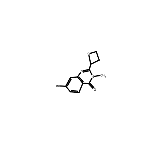 Cn1c(C2CCO2)nc2cc(Br)ccc2c1=O